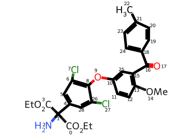 CCOC(=O)C(N)(C(=O)OCC)c1cc(Cl)c(Oc2ccc(OC)c(C(=O)c3ccc(C)cc3)c2)c(Cl)c1